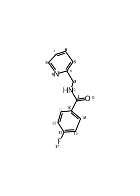 O=C(NCc1ccccn1)c1ccc(F)cc1